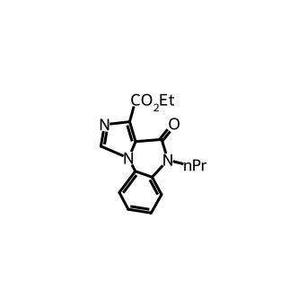 CCCn1c(=O)c2c(C(=O)OCC)ncn2c2ccccc21